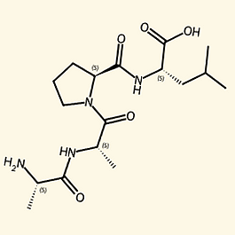 CC(C)C[C@H](NC(=O)[C@@H]1CCCN1C(=O)[C@H](C)NC(=O)[C@H](C)N)C(=O)O